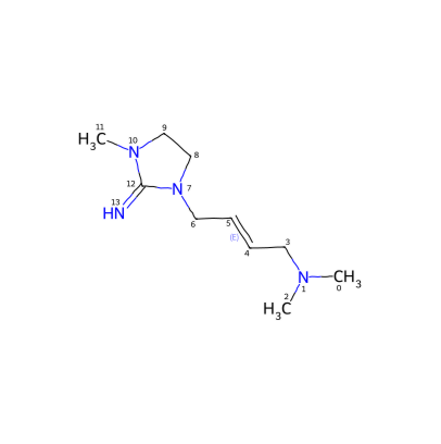 CN(C)C/C=C/CN1CCN(C)C1=N